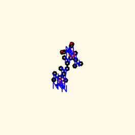 N#Cc1nc(C#N)nc(Oc2ccccc2-n2c3ccc(N(c4ccccc4)c4ccccc4)cc3c3cc(N(c4ccccc4)c4cccc(-c5ccc(N(c6ccccc6)c6ccc7c(c6)c6cc(N(c8ccccc8)c8ccccc8)ccc6n7-c6ccccc6Oc6nc(C78CC9CC(CC(C9)C7)C8)nc(C78CC9CC(CC(C9)C7)C8)n6)cc5)c4)ccc32)n1